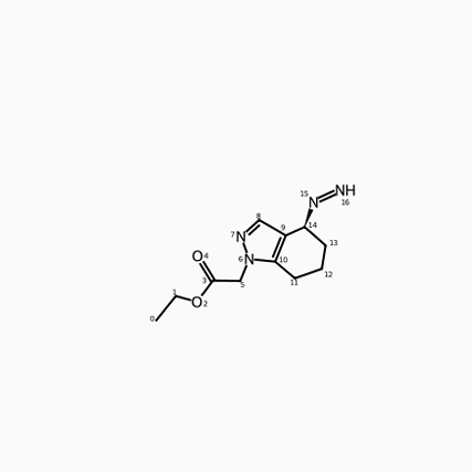 CCOC(=O)Cn1ncc2c1CCC[C@@H]2N=N